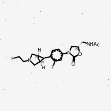 CC(=O)NC[C@H]1CN(c2ccc(C3[C@H]4CN(CCF)C[C@@H]34)c(F)c2)C(=O)O1